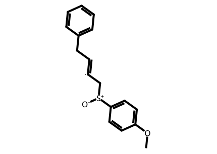 COc1ccc([S+]([O-])C/[C]=C/Cc2ccccc2)cc1